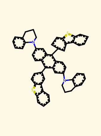 c1ccc2c(c1)CCCN2c1ccc2c(-c3ccc4sc5ccccc5c4c3)c3cc(N4CCCc5ccccc54)ccc3c(-c3ccc4sc5ccccc5c4c3)c2c1